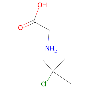 CC(C)(C)Cl.NCC(=O)O